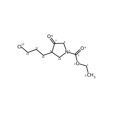 CCOC(=O)N1CC(=O)C(CCCCl)C1